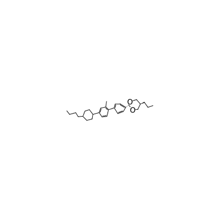 CCCCC1CCC(c2ccc(-c3ccc([C@H]4OC[C@H](CCC)CO4)cc3)c(C)c2)CC1